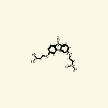 CCN(CC)CCOc1ccc2c(c1)c1cc(OCCN(CC)CC)ccc1n2CC